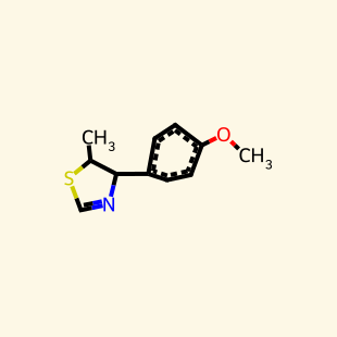 COc1ccc(C2N=CSC2C)cc1